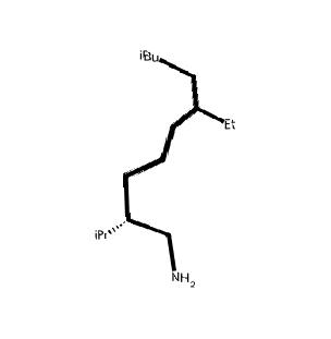 CCC(C)CC(CC)CCC[C@H](CN)C(C)C